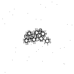 c1ccc(-c2ccc(N(c3ccc4c5cccc6c5n5c4c3Oc3cccc(c3-5)O6)c3cccc4oc5ccccc5c34)cc2)cc1